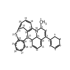 CC1C=C(C2=CC=CCC2)C2=CC=CC3B4C5=C(C=CC=C(C5)Sc5ccccc54)N1C23